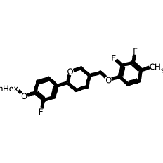 CCCCCCOc1ccc(C2CCC(COc3ccc(C)c(F)c3F)CO2)cc1F